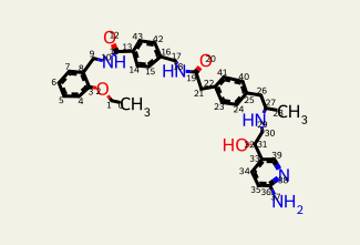 CCOc1ccccc1CNC(=O)c1ccc(CNC(=O)Cc2ccc(CC(C)NC[C@@H](O)c3ccc(N)nc3)cc2)cc1